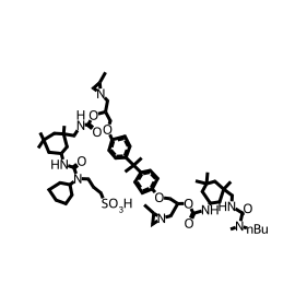 CCCCN(C)C(=O)NCC1(C)CC(NC(=O)OC(COc2ccc(C(C)(C)c3ccc(OCC(CN4CC4C)OC(=O)NCC4(C)CC(NC(=O)N(CCCS(=O)(=O)O)C5CCCCC5)CC(C)(C)C4)cc3)cc2)CN2CC2C)CC(C)(C)C1